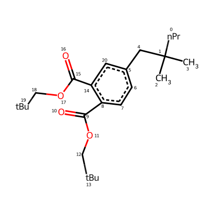 CCCC(C)(C)Cc1ccc(C(=O)OCC(C)(C)C)c(C(=O)OCC(C)(C)C)c1